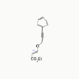 CCOC(=O)/C=C/OCC#Cc1ccccc1